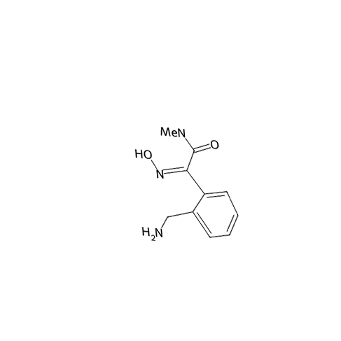 CNC(=O)C(=NO)c1ccccc1CN